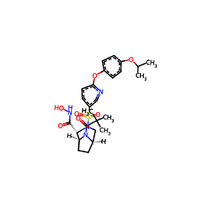 CC(C)Oc1ccc(Oc2ccc(S(=O)(=O)N3C[C@H]4CC[C@@H]([C@@H]3C(=O)NO)N4C(=O)C(C)(C)C)cn2)cc1